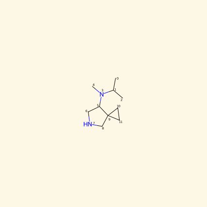 CC(C)N(C)C1CNCC12CC2